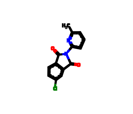 Cc1cccc(N2C(=O)c3ccc(Cl)cc3C2=O)n1